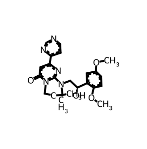 COc1ccc(OC)c([C@@H](O)CN2c3nc(-c4ccncn4)cc(=O)n3CCC2(C)C)c1